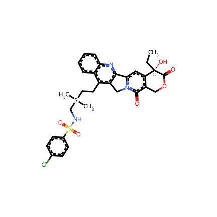 CC[C@@]1(O)C(=O)OCc2c1cc1n(c2=O)Cc2c-1nc1ccccc1c2CC[Si](C)(C)CNS(=O)(=O)c1ccc(Cl)cc1